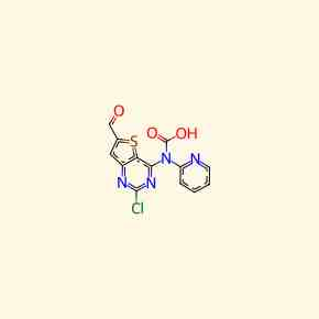 O=Cc1cc2nc(Cl)nc(N(C(=O)O)c3ccccn3)c2s1